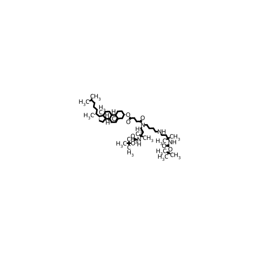 CC(C)CCC[C@@H](C)[C@H]1CC[C@H]2[C@@H]3CC=C4C[C@@H](OC(=O)CCC(=O)N(CCCCNCCC(C)(C)NC(=O)OC(C)(C)C)CCC(C)(C)NC(=O)OC(C)(C)C)CC[C@]4(C)[C@H]3CC[C@]12C